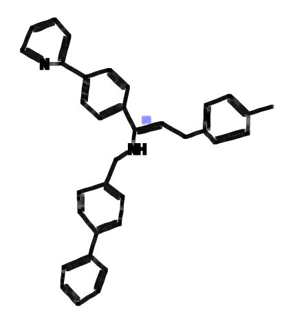 Cc1ccc(C/C=C(\NCc2ccc(-c3ccccc3)cc2)c2ccc(-c3ccccn3)cc2)cc1